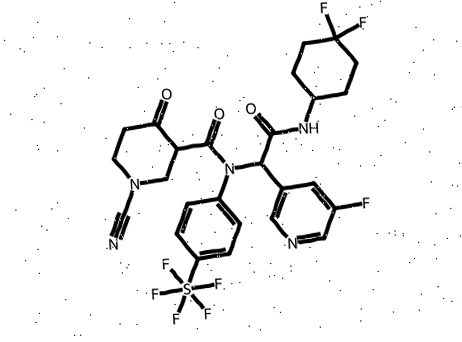 N#CN1CCC(=O)C(C(=O)N(c2ccc(S(F)(F)(F)(F)F)cc2)C(C(=O)NC2CCC(F)(F)CC2)c2cncc(F)c2)C1